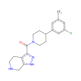 O=C(c1n[nH]c2c1CCNC2)N1CCC(c2cc(F)cc(C(F)(F)F)c2)CC1